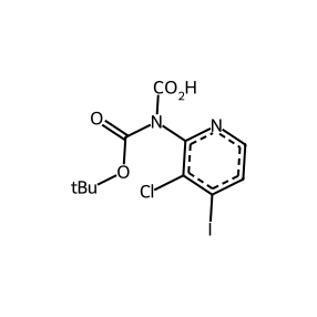 CC(C)(C)OC(=O)N(C(=O)O)c1nccc(I)c1Cl